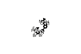 N#CC1(NC(=O)c2cc(-c3cnn(-c4c(Br)c(Br)c(SC(F)(F)F)n4C4CC4)c3)ccc2Cl)CC1